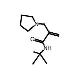 C=C(CN1CCCC1)C(=O)NC(C)(C)C